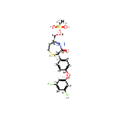 CS(=O)(=O)OC[C@@H]1CCS[C@H](c2ccc(Oc3cc(F)cc(F)c3)cc2)C(=O)N1